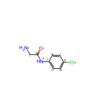 NCC(=O)Nc1ccc(Cl)cc1